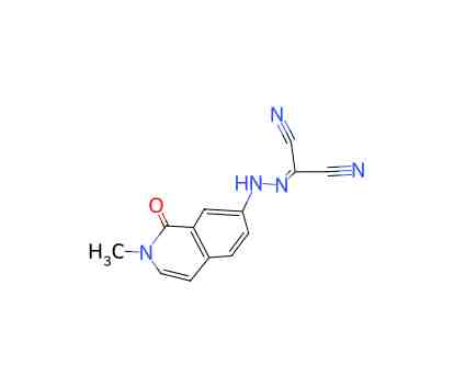 Cn1ccc2ccc(NN=C(C#N)C#N)cc2c1=O